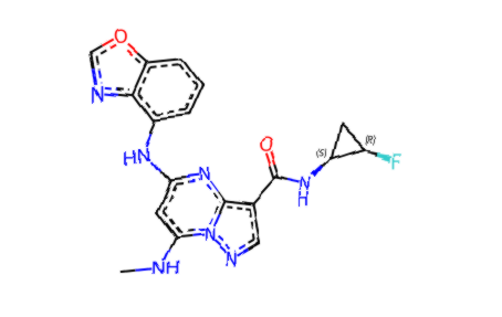 CNc1cc(Nc2cccc3ocnc23)nc2c(C(=O)N[C@H]3C[C@H]3F)cnn12